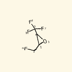 FCC1OC1C(F)(F)F